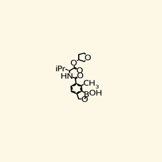 Cc1c(C(=O)N[C@H](C(=O)O[C@H]2CCOC2)C(C)C)ccc2c1B(O)OC2